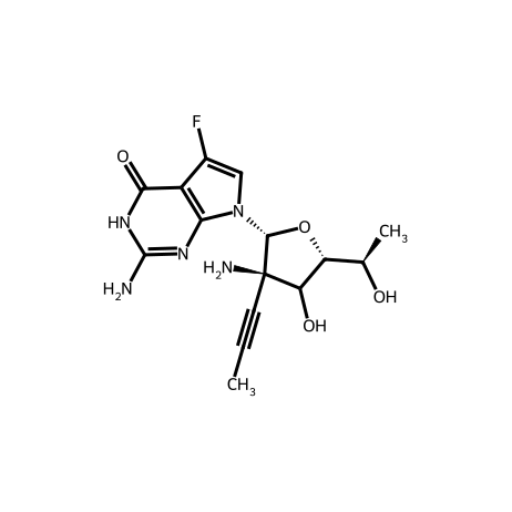 CC#C[C@@]1(N)C(O)[C@@H]([C@@H](C)O)O[C@H]1n1cc(F)c2c(=O)[nH]c(N)nc21